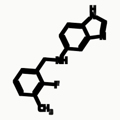 Cc1cccc(CNc2ccc3[nH]cnc3c2)c1F